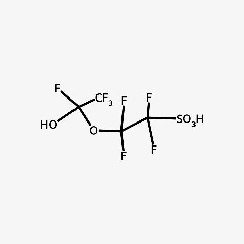 O=S(=O)(O)C(F)(F)C(F)(F)OC(O)(F)C(F)(F)F